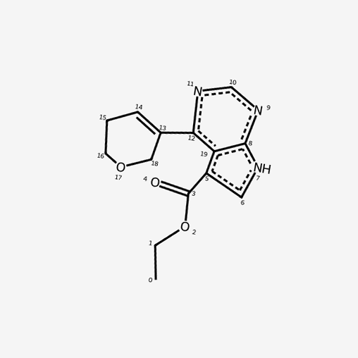 CCOC(=O)c1c[nH]c2ncnc(C3=CCCOC3)c12